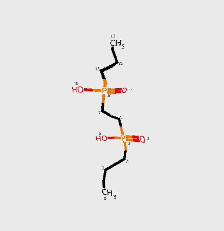 CCCP(=O)(O)CCP(=O)(O)CCC